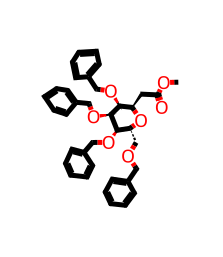 COC(=O)C[C@H]1O[C@H](COCc2ccccc2)[C@@H](OCc2ccccc2)[C@@H](OCc2ccccc2)[C@H]1OCc1ccccc1